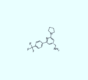 NCc1cc(-c2ccc(C(F)(F)F)cc2)nc(N2CCCC2)c1